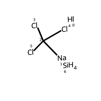 I.[Na][C](Cl)(Cl)Cl.[SiH4]